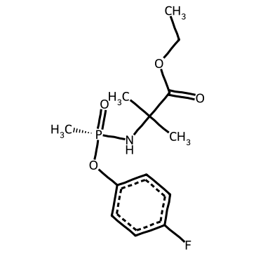 CCOC(=O)C(C)(C)N[P@](C)(=O)Oc1ccc(F)cc1